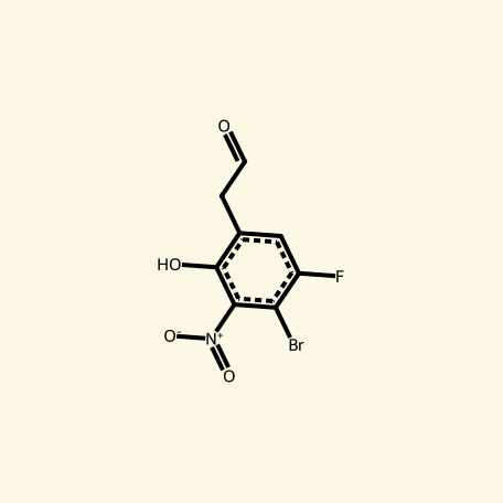 O=CCc1cc(F)c(Br)c([N+](=O)[O-])c1O